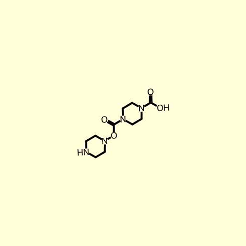 O=C(O)N1CCN(C(=O)ON2CCNCC2)CC1